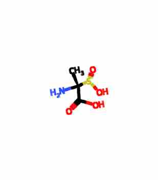 C[C@](N)(C(=O)O)S(=O)O